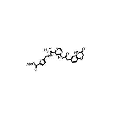 C=C(NCc1ccc(C(=O)OC)s1)c1cc(NC(=O)Cc2ccc3c(c2)NC(=O)CO3)ncn1